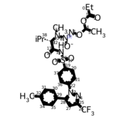 CCC(=O)OC(C)O/N=[N+](\[O-])N(C)[C@H](C(=O)NS(=O)(=O)c1ccc(-n2nc(C(F)(F)F)cc2-c2ccc(C)cc2)cc1)C(C)C